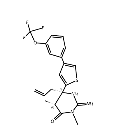 C=CC[C@]1(c2cc(-c3cccc(OC(F)(F)F)c3)cs2)NC(=N)N(C)C(=O)[C@@H]1C